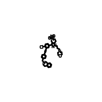 CS(=O)(=O)N1CCc2c(c(-c3ccc(Cl)c(C#Cc4ccc(CN5CCc6ccccc6C5)cc4)c3)nn2CCCN2CCOCC2)C1